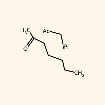 CC(=O)CC(C)C.CCCCCC(C)=O